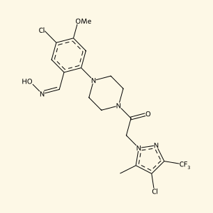 COc1cc(N2CCN(C(=O)Cn3nc(C(F)(F)F)c(Cl)c3C)CC2)c(/C=N\O)cc1Cl